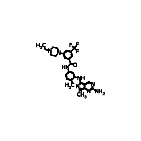 CCN1CCN(c2cc(C(=O)Nc3ccc(C)c(Nc4nn(C)c5nc(N)ncc45)c3)cc(C(F)(F)F)c2)CC1